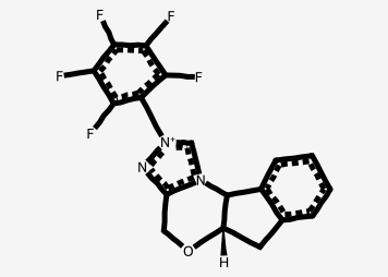 Fc1c(F)c(F)c(-[n+]2cn3c(n2)CO[C@H]2Cc4ccccc4C23)c(F)c1F